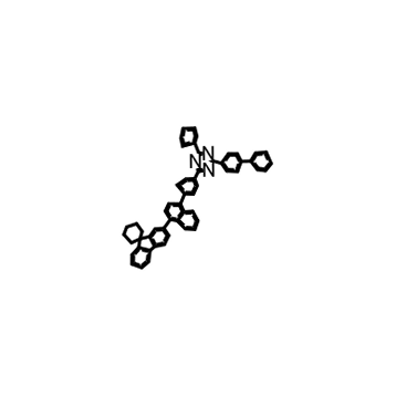 c1ccc(-c2ccc(-c3nc(-c4ccccc4)nc(-c4ccc(-c5ccc(-c6ccc7c(c6)C6(CCCCC6)c6ccccc6-7)c6ccccc56)cc4)n3)cc2)cc1